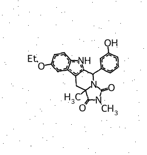 CCOc1ccc2[nH]c3c(c2c1)CC1(C)C(=O)N(C)C(=O)N1C3c1cccc(O)c1